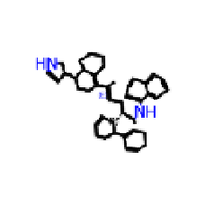 C/C(=C\CC(C(C)Nc1cccc2ccccc12)[C@H]1C=CCCC1C1=CCCC=C1)C1=C2CCCCC2C(C2C=CNC2)CC1